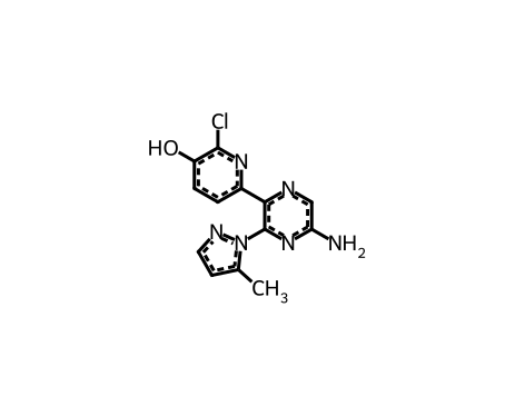 Cc1ccnn1-c1nc(N)cnc1-c1ccc(O)c(Cl)n1